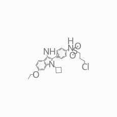 CCOc1ccc2c(N)c(-c3ccc(NS(=O)(=O)CCCCl)cc3)n(C3CCC3)c2c1